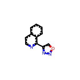 c1ccc2c(-c3conn3)nccc2c1